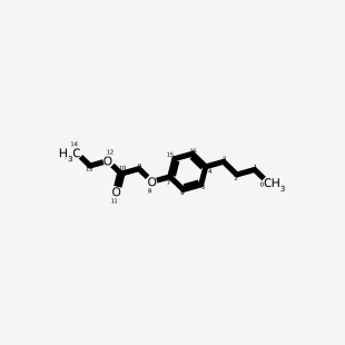 CCCCc1ccc(OCC(=O)OCC)cc1